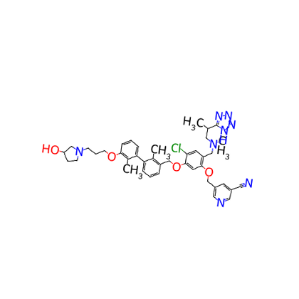 Cc1c(COc2cc(OCc3cncc(C#N)c3)c(CN(C)CC(C)c3nnn[nH]3)cc2Cl)cccc1-c1cccc(OCCCN2CCC(O)C2)c1C